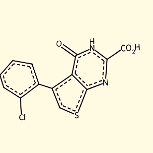 O=C(O)c1nc2scc(-c3ccccc3Cl)c2c(=O)[nH]1